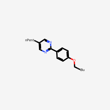 CCCCCc1cnc(-c2ccc(OCC(C)CC)cc2)nc1